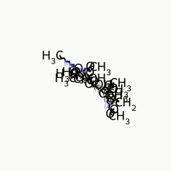 C=C[C@H]1C/C(=C\C(=O)OC)C[C@@H](C[C@]2(O)O[C@H](C[C@@H](O)CC(=O)O[C@H](CC3C/C(=C\C(=O)OC)[C@H](OC(=O)/C=C/C=C/CCC)[C@](O)(C(C)(C)C)O3)[C@@H](C)O)C[C@H](OC(C)=O)C2(C)C)O1